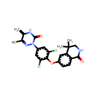 C=C1NC(=O)N(c2cc(Cl)c(Oc3ccc4c(c3)C(C)(C)CNC4=O)c(Cl)c2)N=C1C#N